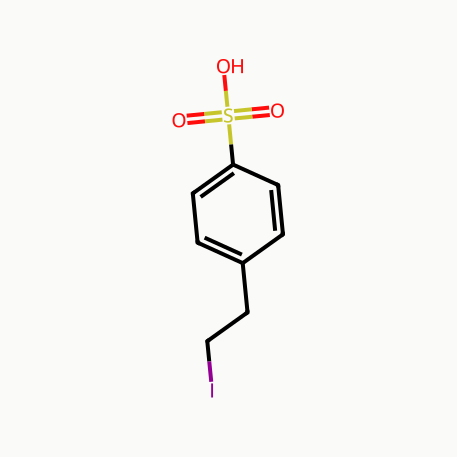 O=S(=O)(O)c1ccc(CCI)cc1